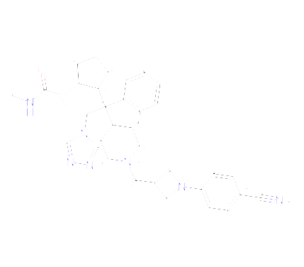 CNC(=O)OC1CCCC1C(Cn1cnnc1)(c1ccccc1)C1CCN(CC2CN(c3ccc(C#N)cc3)C2)CC1